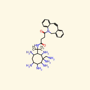 CC(C)(NC(=O)CCC(=O)N1Cc2ccccc2C#Cc2ccccc21)C1C(N)CC(N)C(N)C(N)C(N)(CN)C1N